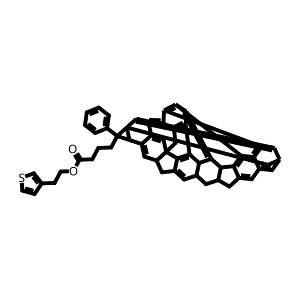 O=C(CCCC1(c2ccccc2)C2C3=CC4CC5=CC6CC7Cc8cc9c%10c%11c8C7C7=c8c%12c%13c%14c(c%15c(c=%10c%14c8-%11)C(C=9)CC%1521)C3=CC4(C%13)C5=C%12C76)OCCc1ccsc1